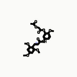 COc1cc(OC)c(/C=C/C(=O)Nc2ccc(OC)c(OC(=O)COC(C)=O)c2)c(OC)c1